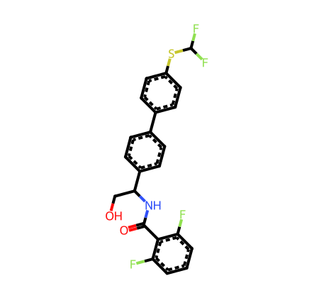 O=C(NC(CO)c1ccc(-c2ccc(SC(F)F)cc2)cc1)c1c(F)cccc1F